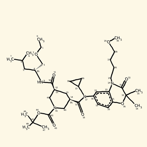 CCOC[C@@H](CC(C)C)NC(=O)[C@H]1C[C@@H](C(=O)N(c2ccc3c(c2)N(CCCCOC)C(=O)C(C)(C)O3)C2CC2)CN(C(=O)OC(C)(C)C)C1